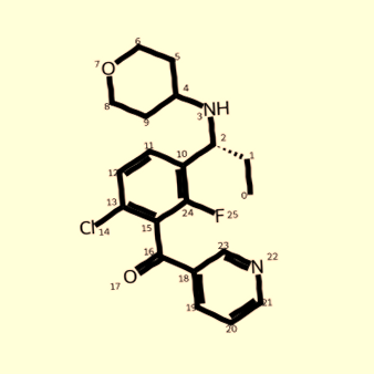 CC[C@@H](NC1CCOCC1)c1ccc(Cl)c(C(=O)c2cccnc2)c1F